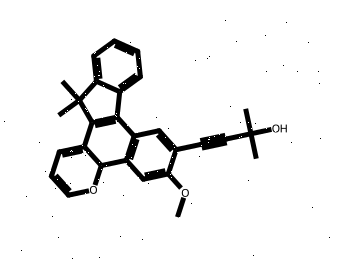 COc1cc2c(cc1C#CC(C)(C)O)C1=C(C3=CC=COC32)C(C)(C)c2ccccc21